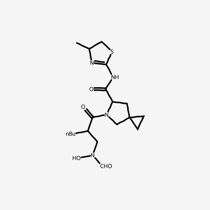 CCCCC(CN(O)C=O)C(=O)N1CC2(CC2)CC1C(=O)NC1=NC(C)CS1